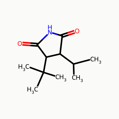 CC(C)C1C(=O)NC(=O)C1C(C)(C)C